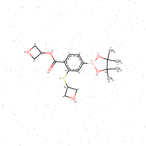 CC1(C)OB(c2ccc(C(=O)OC3COC3)c(SC3COC3)c2)OC1(C)C